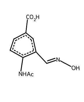 CC(=O)Nc1ccc(C(=O)O)cc1C=NO